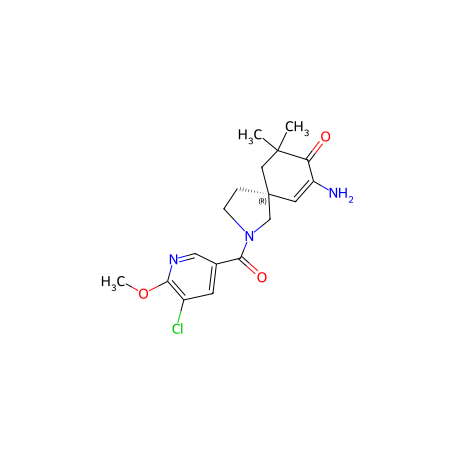 COc1ncc(C(=O)N2CC[C@]3(C=C(N)C(=O)C(C)(C)C3)C2)cc1Cl